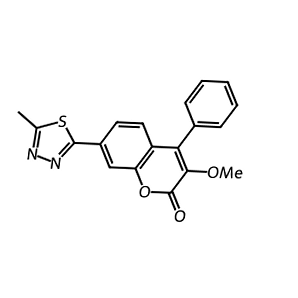 COc1c(-c2ccccc2)c2ccc(-c3nnc(C)s3)cc2oc1=O